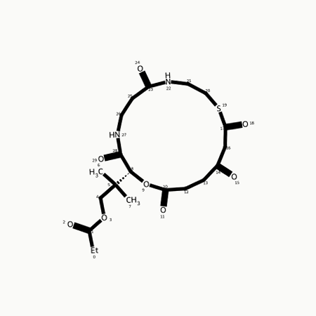 CCC(=O)OCC(C)(C)[C@H]1OC(=O)CCC(=O)CC(=O)SCCNC(=O)CCNC1=O